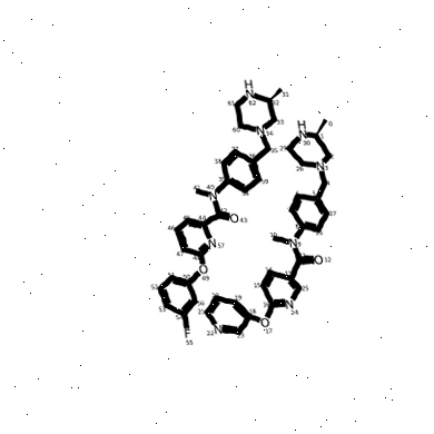 C[C@H]1CN(Cc2ccc(N(C)C(=O)c3ccc(Oc4cccnc4)nc3)cc2)CCN1.C[C@H]1CN(Cc2ccc(N(C)C(=O)c3cccc(Oc4cccc(F)c4)n3)cc2)CCN1